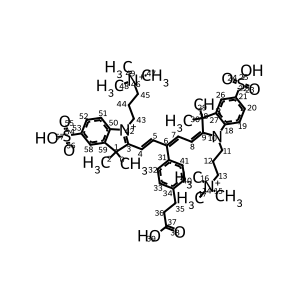 CC1(C)C(/C=C/C(=C/C=C2/N(CCC[N+](C)(C)C)c3ccc(S(=O)(=O)O)cc3C2(C)C)c2ccc(CCC(=O)O)cc2)=[N+](CCC[N+](C)(C)C)c2ccc(S(=O)(=O)O)cc21